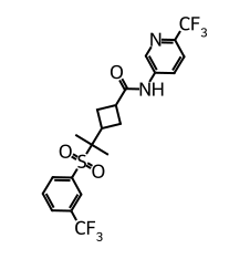 CC(C)(C1CC(C(=O)Nc2ccc(C(F)(F)F)nc2)C1)S(=O)(=O)c1cccc(C(F)(F)F)c1